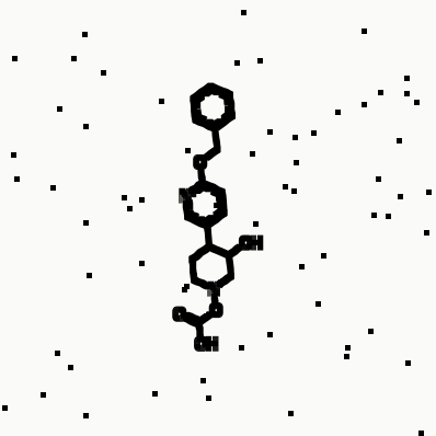 O=C(O)ON1CCC(c2ccc(OCc3ccccc3)nc2)C(O)C1